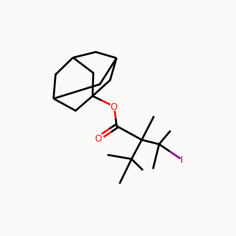 CC(C)(C)C(C)(C(=O)OC12CC3CC(CC(C3)C1)C2)C(C)(C)I